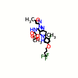 Cc1cc(-n2nc3c(c2NC(=O)CS(C)(=O)=O)C(=O)N[C@](C)(c2ccc(OCCCC(F)(F)F)cc2F)C3)no1